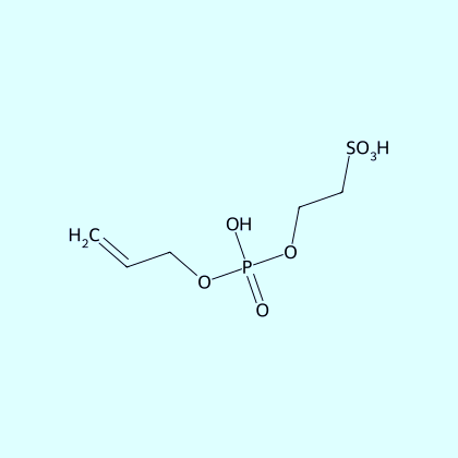 C=CCOP(=O)(O)OCCS(=O)(=O)O